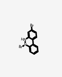 Brc1ccc2c(c1)NN(Br)c1ccccc1-2